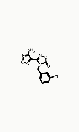 Nc1nonc1-c1noc(=O)n1Cc1cccc(Cl)c1